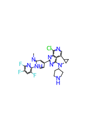 C=C/C(=C\C(=N/C)Nc1nc(F)c(F)cc1F)c1nc(N(C)C2CCNCC2)c2c(C3CC3)cnc(Cl)c2n1